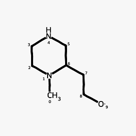 CN1CCNCC1CC[O]